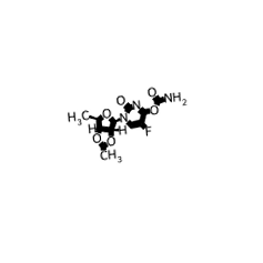 CC1O[C@@H]2[C@H](O1)[C@@H](C)O[C@H]2n1cc(F)c(OC(N)=O)nc1=O